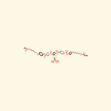 C=CC(=O)OCCCCCCOc1ccc(OC(=O)[C@H]2CC[C@H](C(=O)Oc3ccc(OC(=O)[C@H]4CC[C@H](C(=O)Oc5ccc(OCCCCCCOC(=O)C=C)cc5)CC4)c4c3SC(=C(O)O)S4)CC2)cc1